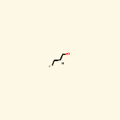 CCCCCCO.[Hf]